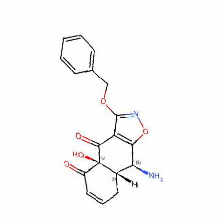 N[C@@H]1c2onc(OCc3ccccc3)c2C(=O)[C@@]2(O)C(=O)C=CC[C@@H]12